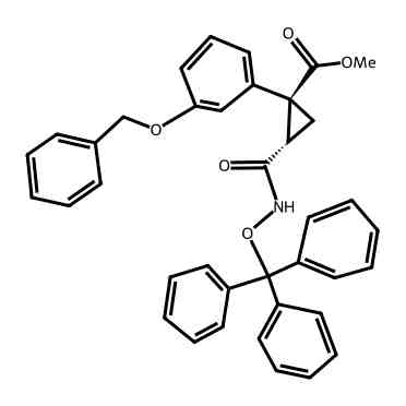 COC(=O)[C@@]1(c2cccc(OCc3ccccc3)c2)C[C@@H]1C(=O)NOC(c1ccccc1)(c1ccccc1)c1ccccc1